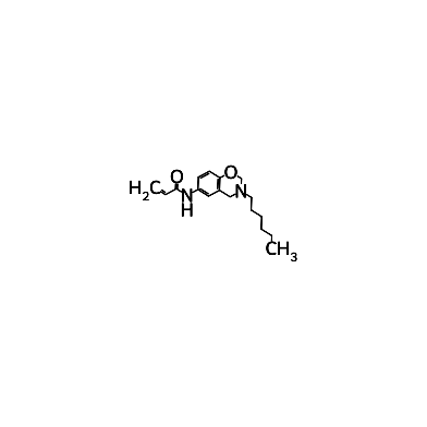 C=CC(=O)Nc1ccc2c(c1)CN(CCCCCC)CO2